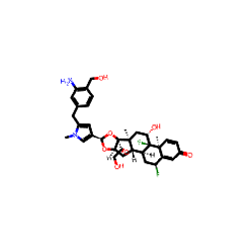 Cn1cc([C@@H]2O[C@@H]3C[C@H]4[C@@H]5C[C@H](F)C6=CC(=O)C=C[C@]6(C)[C@@]5(F)[C@@H](O)C[C@]4(C)[C@]3(C(=O)CO)O2)cc1Cc1ccc(CO)c(N)c1